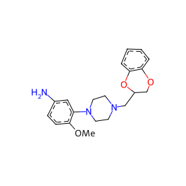 COc1ccc(N)cc1N1CCN(CC2COc3ccccc3O2)CC1